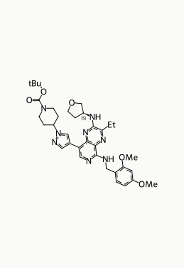 CCc1nc2c(NCc3ccc(OC)cc3OC)ncc(-c3cnn(C4CCN(C(=O)OC(C)(C)C)CC4)c3)c2nc1N[C@H]1CCOC1